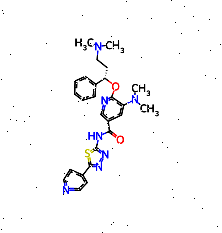 CN(C)CC[C@H](Oc1ncc(C(=O)Nc2nnc(-c3ccncc3)s2)cc1N(C)C)c1ccccc1